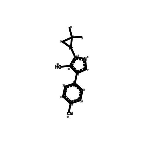 CC1(C)C[C]1n1ncc(-c2ccc(C#N)cc2)c1O